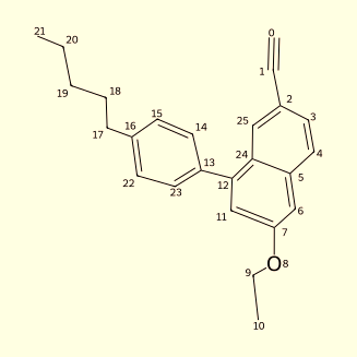 C#Cc1ccc2cc(OCC)cc(-c3ccc(CCCCC)cc3)c2c1